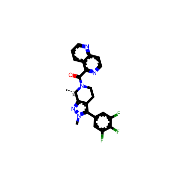 C[C@H]1c2nn(C)c(-c3cc(F)c(F)c(F)c3)c2CCN1C(=O)c1nccc2ncccc12